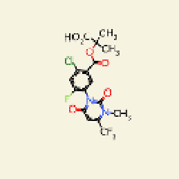 Cn1c(C(F)(F)F)cc(=O)n(-c2cc(C(=O)OC(C)(C)C(=O)O)c(Cl)cc2F)c1=O